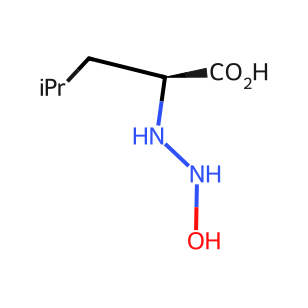 CC(C)C[C@H](NNO)C(=O)O